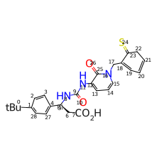 CC(C)(C)c1ccc([C@H](CC(=O)O)NC(=O)Nc2cccn(CC3=CC=CCC3=S)c2=O)cc1